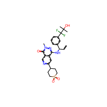 C=C[C@@H](Nc1nn(C)c(=O)c2cnc(C3CCS(=O)(=O)CC3)cc12)c1cccc(C(F)(F)C(C)(C)O)c1